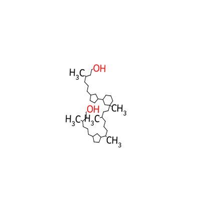 CC(CCO)CCCC1CCC(C(C)CCCC(C)CCC2(C)CCCC(C3CCC(CCCC(C)CCO)C3)C2)C1